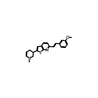 COc1cccc(/C=C/c2ccc3cc(C4CC=CN(C)C4)sc3n2)c1